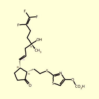 C[C@@](O)(C/C=C/[C@H]1CCC(=O)[C@H]1CCSc1nc(OC(=O)O)cs1)CCC(F)=C(F)F